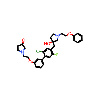 O=C1CCN(CCOc2cccc(-c3cc(F)c(CC4(O)CCN(CCOc5ccccc5)C4)cc3Cl)c2)C1